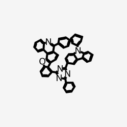 c1ccc(-c2nc(-c3ccc4c(c3)c3ccccc3n4-c3ccccc3)nc(-c3cccc4oc5c(ccc6c(-c7ccccc7)nc7ccccc7c65)c34)n2)cc1